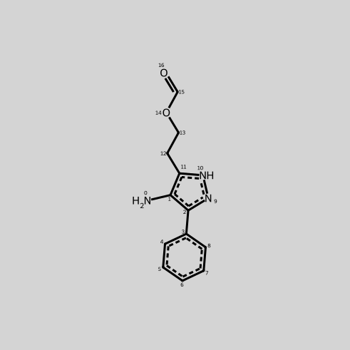 Nc1c(-c2ccccc2)n[nH]c1CCOC=O